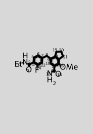 CCNC(=O)c1ccc(Cc2cc(C(N)=O)c(OC)c3c2CCC3)cc1F